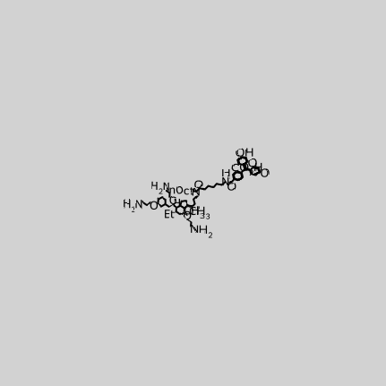 CCCCCCCCN(CCC[C@@H](C)C1CC[C@H]2C([C@@H](CC3CCC[C@@H](OCCCN)C3)OCCCN)[C@@H](CC)C[C@H](OCCCN)C12C)C(=O)CCCCCNC(=O)c1ccc(-c2c3ccc(=O)cc-3oc3cc(O)ccc23)c(C(=O)O)c1